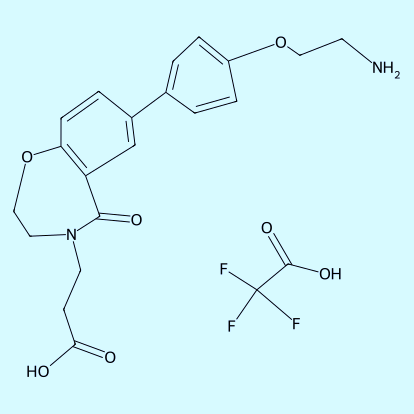 NCCOc1ccc(-c2ccc3c(c2)C(=O)N(CCC(=O)O)CCO3)cc1.O=C(O)C(F)(F)F